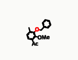 COc1c(C(C)=O)ccc(C)c1OCc1ccccc1